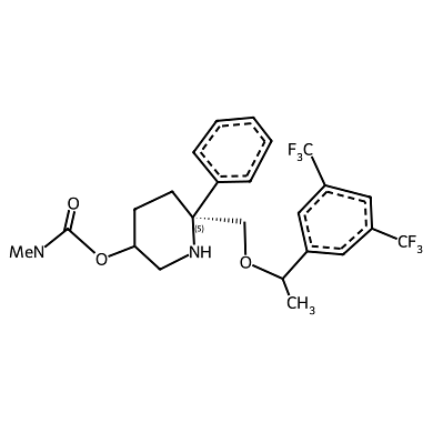 CNC(=O)OC1CC[C@@](COC(C)c2cc(C(F)(F)F)cc(C(F)(F)F)c2)(c2ccccc2)NC1